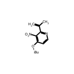 C=C(C)c1nccc(O[C@@H](C)CC)c1[N+](=O)[O-]